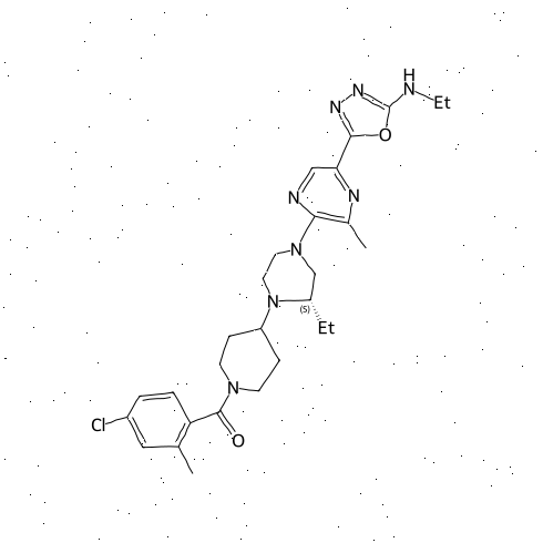 CCNc1nnc(-c2cnc(N3CCN(C4CCN(C(=O)c5ccc(Cl)cc5C)CC4)[C@@H](CC)C3)c(C)n2)o1